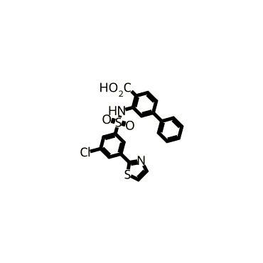 O=C(O)c1ccc(-c2ccccc2)cc1NS(=O)(=O)c1cc(Cl)cc(-c2nccs2)c1